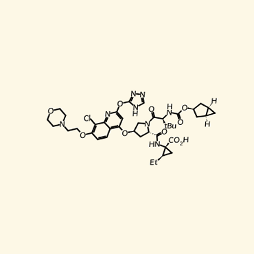 CC[C@@H]1C[C@]1(NC(=O)[C@@H]1C[C@@H](Oc2cc(Oc3nnc[nH]3)nc3c(Cl)c(OCCN4CCOCC4)ccc23)CN1C(=O)[C@@H](NC(=O)O[C@@H]1C[C@@H]2C[C@@H]2C1)C(C)(C)C)C(=O)O